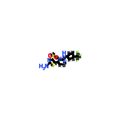 CS(=O)(=O)c1nc(N)sc1-c1ccnc(Nc2ccc(C(F)(F)F)cc2)n1